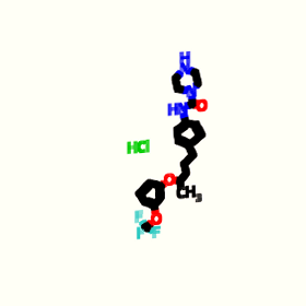 CC(CCCc1ccc(NC(=O)N2CCNCC2)cc1)Oc1cccc(OC(F)(F)F)c1.Cl